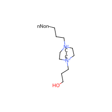 CCCCCCCCCCCC[N+]12CC[N+](CCCO)(CC1)CC2